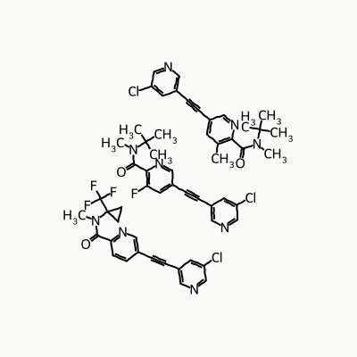 CN(C(=O)c1ccc(C#Cc2cncc(Cl)c2)cn1)C1(C(F)(F)F)CC1.CN(C(=O)c1ncc(C#Cc2cncc(Cl)c2)cc1F)C(C)(C)C.Cc1cc(C#Cc2cncc(Cl)c2)cnc1C(=O)N(C)C(C)(C)C